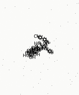 CN(Cc1ccc(-c2ccc(Cl)cc2)cc1)C(=O)Cn1cc(CCO)c(=O)nc1SCc1ccc(F)cc1.O=C(O)C(O)C(O)C(=O)O.O=C(O)C(O)C(O)C(=O)O.O=c1ccnc[nH]1